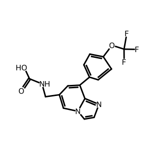 O=C(O)NCc1cc(-c2ccc(OC(F)(F)F)cc2)c2nccn2c1